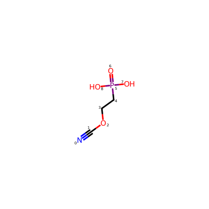 N#COCCP(=O)(O)O